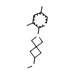 CCOC1CC2(C1)CN(c1ncc(C(=O)O)cc1F)C2